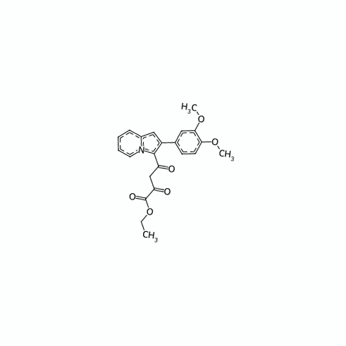 CCOC(=O)C(=O)CC(=O)c1c(-c2ccc(OC)c(OC)c2)cc2ccccn12